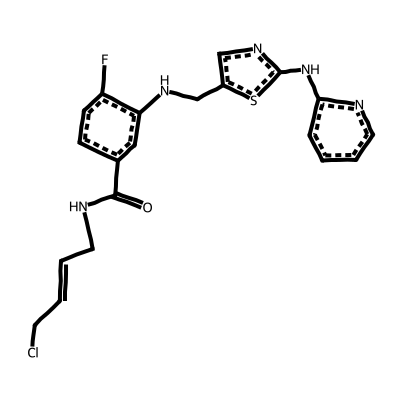 O=C(NC/C=C/CCl)c1ccc(F)c(NCc2cnc(Nc3ccccn3)s2)c1